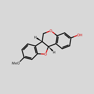 COc1ccc2c(c1)O[C@H]1c3ccc(O)cc3OC[C@@H]21